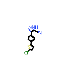 N#Cc1[nH]nnc1-c1ccc(-c2ccc(Cl)s2)cc1